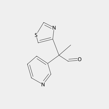 CC(C=O)(c1cccnc1)c1cscn1